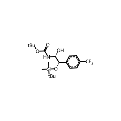 CC(C)(C)OC(=O)N[C@H](O)[C@@H](O[Si](C)(C)C(C)(C)C)c1ccc(C(F)(F)F)cc1